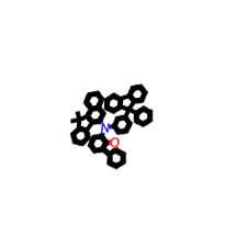 CC1(C)c2ccccc2-c2c(N(c3cccc(C4(c5ccccc5)c5ccccc5-c5ccccc54)c3)c3cccc4c3oc3ccccc34)cc3ccccc3c21